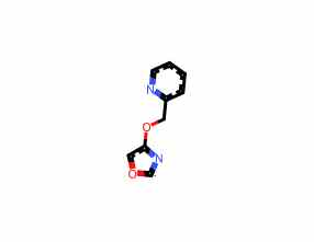 [c]1nc(OCc2ccccn2)co1